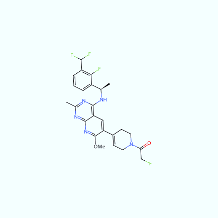 COc1nc2nc(C)nc(N[C@H](C)c3cccc(C(F)F)c3F)c2cc1C1=CCN(C(=O)CF)CC1